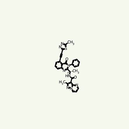 Cc1nnc(C#Cc2cccc3nc([C@H](C)NC(=O)c4c(C)nn5cccnc45)n(-c4ccccc4)c(=O)c23)s1